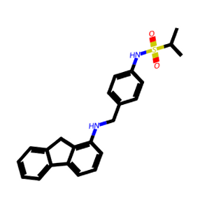 CC(C)S(=O)(=O)Nc1ccc(CNc2cccc3c2Cc2ccccc2-3)cc1